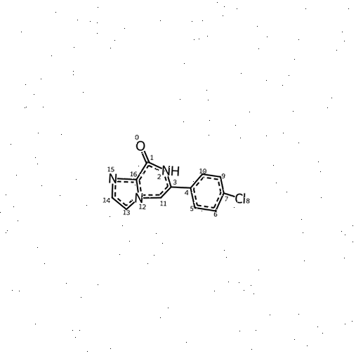 O=c1[nH]c(-c2ccc(Cl)cc2)cn2ccnc12